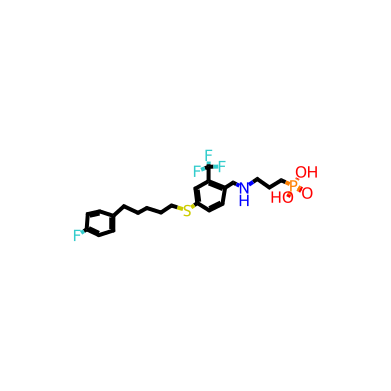 O=P(O)(O)CCCNCc1ccc(SCCCCCc2ccc(F)cc2)cc1C(F)(F)F